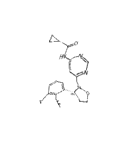 O=C(Nc1cc(N2OCC[C@@H]2c2cccc(F)c2F)ncn1)C1CC1